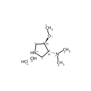 CO[C@@H]1CNC[C@H]1N(C)C.Cl.Cl